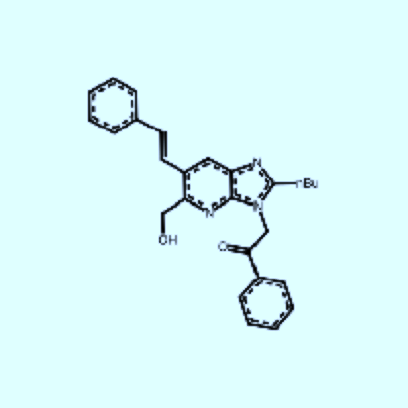 CCCCc1nc2cc(C=Cc3ccccc3)c(CO)nc2n1CC(=O)c1ccccc1